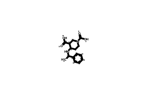 CC(NC1CCN(C(=O)O)CC1C(=O)O)c1ccccc1